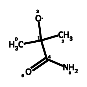 CC(C)([O])C(N)=O